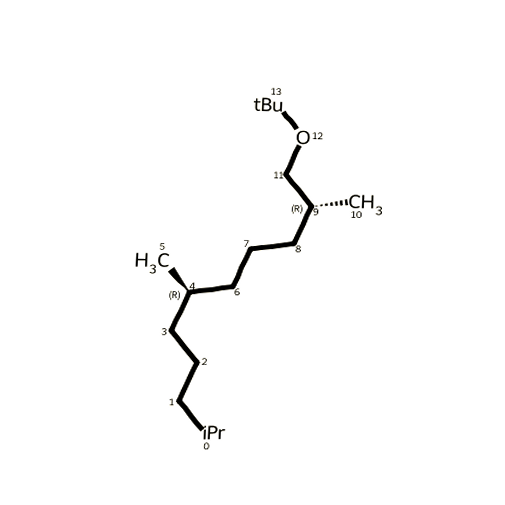 CC(C)CCC[C@@H](C)CCC[C@@H](C)COC(C)(C)C